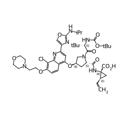 C=C[C@@H]1C[C@]1(NC(=O)[C@@H]1C[C@@H](Oc2cc(-c3coc(NC(C)C)n3)nc3c(Cl)c(OCCN4CCOCC4)ccc23)CN1C(=O)[C@@H](NC(=O)OC(C)(C)C)C(C)(C)C)C(=O)O